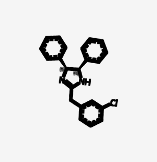 Clc1cccc(CC2=N[C@@H](c3ccccc3)[C@@H](c3ccccc3)N2)c1